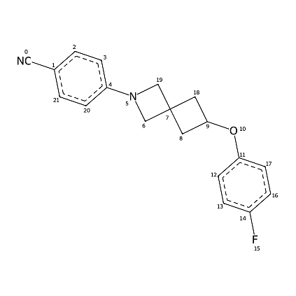 N#Cc1ccc(N2CC3(CC(Oc4ccc(F)cc4)C3)C2)cc1